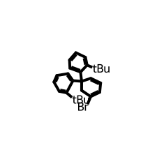 CC(C)(C)c1ccccc1C1(c2ccccc2C(C)(C)C)C=CC=C(Br)C1